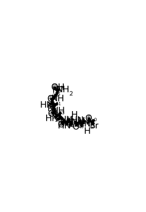 C=C(Br)C(=O)Nc1c[nH]c(C(=O)Nc2c[nH]c(C(=O)Nc3c[nH]c(C(=O)Nc4n[nH]c(C(=O)NCCC(N)=NO)c4C)c3C)c2C)c1C